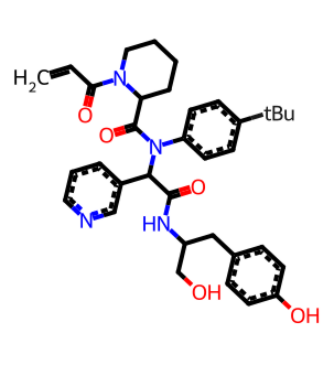 C=CC(=O)N1CCCCC1C(=O)N(c1ccc(C(C)(C)C)cc1)C(C(=O)NC(CO)Cc1ccc(O)cc1)c1cccnc1